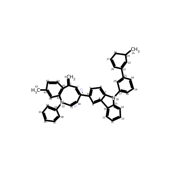 C=C1/C=C(c2ccc3c(c2)c2ccccc2n3-c2cccc(C3=CC(C)CC=C3)c2)\C=C/N(c2ccccc2)c2cc(C)ccc21